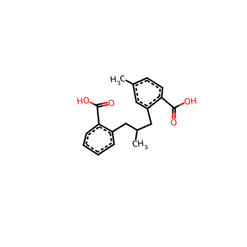 Cc1ccc(C(=O)O)c(CC(C)Cc2ccccc2C(=O)O)c1